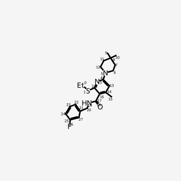 CCSc1nc(N2CCC(C)(C)CC2)cc(C)c1C(=O)NCc1cccc(F)c1